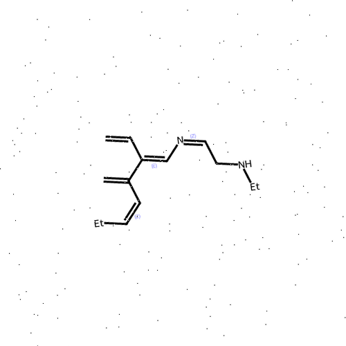 C=C/C(=C\N=C/CNCC)C(=C)/C=C\CC